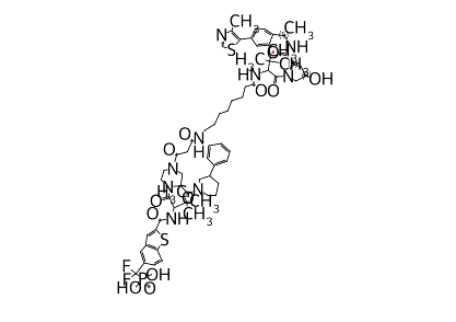 Cc1ncsc1-c1ccc([C@H](C)NC(=O)[C@@H]2C[C@@H](O)CN2C(=O)C(NC(=O)CCCCCCCNC(=O)CC(=O)N2CCN(C(=O)C(NC(=O)c3cc4cc(C(F)(F)P(=O)(O)O)ccc4s3)C(C)(C)C)C(C(=O)N3CCCC(c4ccccc4)C3)C2)C(C)(C)C)cc1